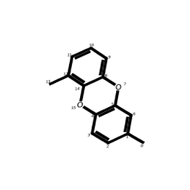 Cc1ccc2c(c1)Oc1cccc(C)c1O2